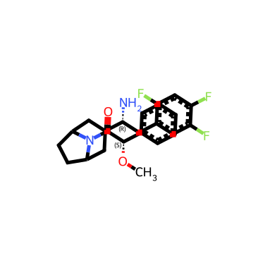 CO[C@H](C(=O)N1C2CCC1CC([C@H](N)Cc1cc(F)c(F)cc1F)C2)c1ccccc1